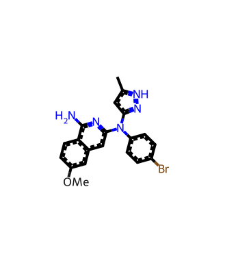 COc1ccc2c(N)nc(N(c3ccc(Br)cc3)c3cc(C)[nH]n3)cc2c1